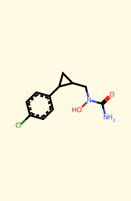 NC(=O)N(O)CC1CC1c1ccc(Cl)cc1